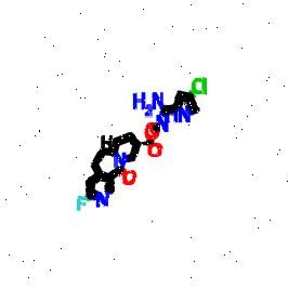 N/C(=N\OC(=O)[C@H]1CC[C@H]2CCc3cc(F)ncc3C(=O)N2C1)c1cc(Cl)c[nH]1